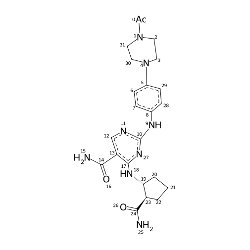 CC(=O)N1CCN(c2ccc(Nc3ncc(C(N)=O)c(N[C@@H]4CCC[C@H]4C(N)=O)n3)cc2)CC1